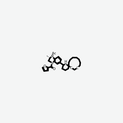 CC(=O)N1c2ccc(C3CCCC4(CCCCCCCCCC4)N3)cc2N(C(=O)c2ccco2)C[C@@H]1C